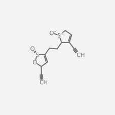 C#CC1=CC[S+]([O-])C1CCC1=CC(C#C)OS1=O